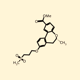 COC(=O)c1ccc2c(c1)-c1ccc(OCCCS(C)(=O)=O)cc1C[C@@H](C)O2